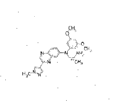 COc1cc(OC)cc(N(C[C@@H](C)N)c2ccc3ncc(-c4cnn(C)c4)nc3c2)c1